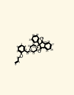 C=CCOc1ccccc1CN1CCN(C2(c3ccccc3)C(=O)c3ccccc3C2=O)CC1